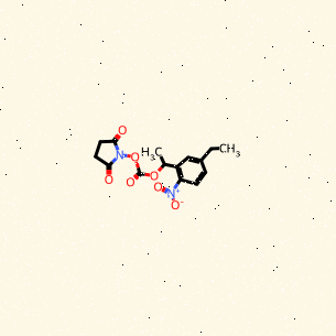 CCc1ccc([N+](=O)[O-])c(C(C)OC(=O)ON2C(=O)CCC2=O)c1